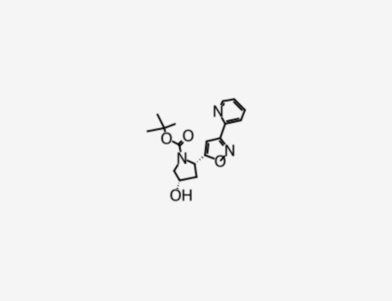 CC(C)(C)OC(=O)N1C[C@@H](O)C[C@H]1c1cc(-c2ccccn2)no1